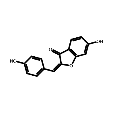 N#Cc1ccc(C=C2Oc3cc(O)ccc3C2=O)cc1